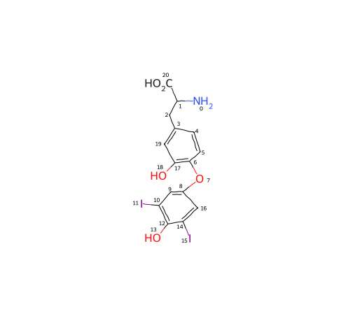 NC(Cc1ccc(Oc2cc(I)c(O)c(I)c2)c(O)c1)C(=O)O